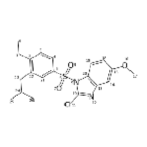 CCc1ccc(S(=O)(=O)n2c(Cl)nc3cc(OC)ccc32)cc1CC(C)C